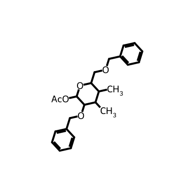 CC(=O)OC1OC(COCc2ccccc2)C(C)C(C)C1OCc1ccccc1